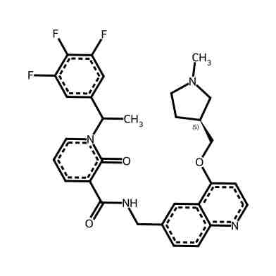 CC(c1cc(F)c(F)c(F)c1)n1cccc(C(=O)NCc2ccc3nccc(OC[C@H]4CCN(C)C4)c3c2)c1=O